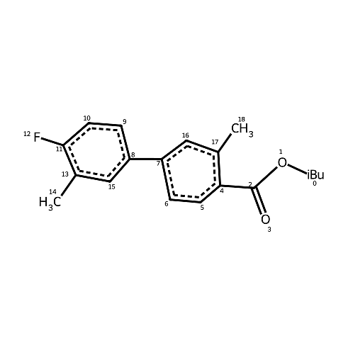 CCC(C)OC(=O)c1ccc(-c2ccc(F)c(C)c2)cc1C